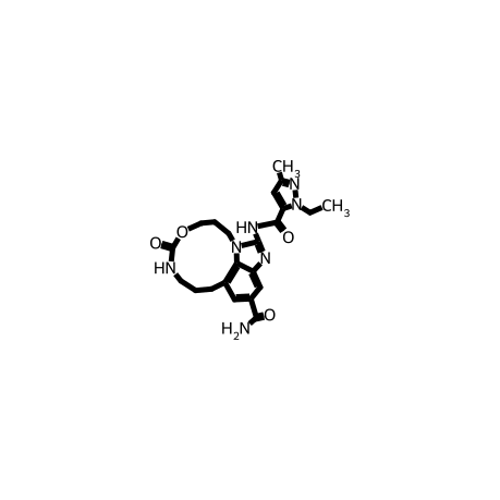 CCn1nc(C)cc1C(=O)Nc1nc2cc(C(N)=O)cc3c2n1CCCOC(=O)NCCC3